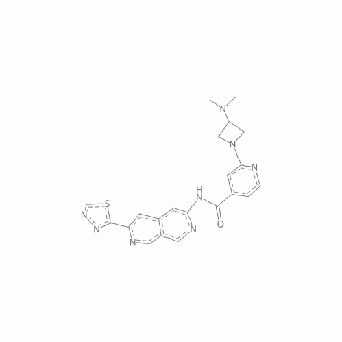 CN(C)C1CN(c2cc(C(=O)Nc3cc4cc(-c5nncs5)ncc4cn3)ccn2)C1